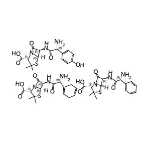 CC1(C)S[C@@H]2[C@H](NC(=O)[C@H](N)C3=CCC=CC3)C(=O)N2[C@H]1C(=O)O.CC1(C)S[C@@H]2[C@H](NC(=O)[C@H](N)c3ccc(O)cc3)C(=O)N2[C@H]1C(=O)O.CC1(C)S[C@@H]2[C@H](NC(=O)[C@H](N)c3ccccc3)C(=O)N2[C@H]1C(=O)O